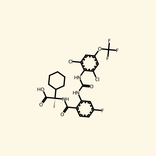 C[C@](NC(=O)c1ccc(F)cc1NC(=O)Nc1c(Cl)cc(OC(F)(F)F)cc1Cl)(C(=O)O)C1CCCCC1